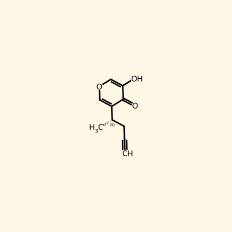 C#CC[C@H](C)c1cocc(O)c1=O